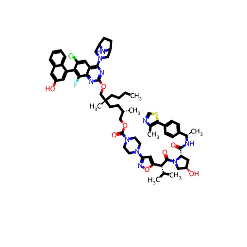 CCCC[C@](C)(CC[C@H](C)COC(=O)N1CCN(c2cc([C@H](C(=O)N3C[C@H](O)C[C@H]3C(=O)N[C@@H](C)c3ccc(-c4scnc4C)cc3)C(C)C)on2)CC1)COc1nc(N2CC3CCC(C2)N3)c2cc(Cl)c(-c3cc(O)cc4ccccc34)c(F)c2n1